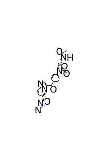 CC(=O)NC[C@H]1CN(c2ccc(C(=O)c3cnc4ccc(C(=O)/N=C/N(C)C)cn34)cc2)C(=O)O1